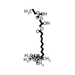 CCCOP(=O)(O)OCC(O)COC(=O)CCCCCCCCC[Si](C)(C)O[Si](C)(C)O[Si](C)(C)C